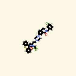 O=C1c2cc(N3CCN(CCCCC4(C(=O)NCC(F)(F)F)c5ccccc5Sc5ccccc54)CC3)ccc2CCN1Cc1cccc(Cl)c1